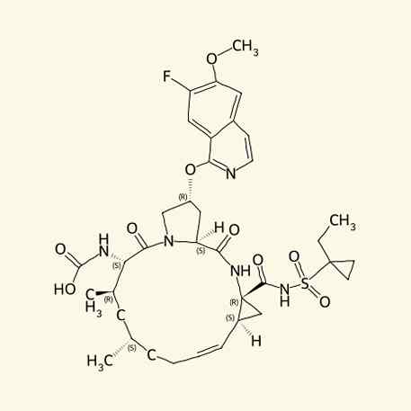 CCC1(S(=O)(=O)NC(=O)[C@@]23C[C@H]2C=CCC[C@H](C)C[C@@H](C)[C@H](NC(=O)O)C(=O)N2C[C@H](Oc4nccc5cc(OC)c(F)cc45)C[C@H]2C(=O)N3)CC1